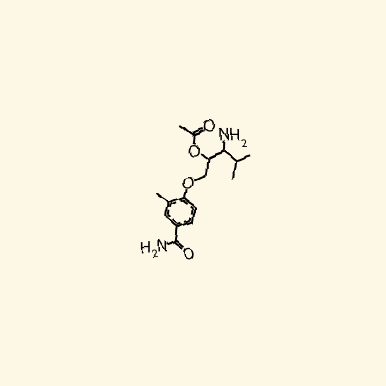 CC(=O)OC(COc1ccc(C(N)=O)cc1C)C(N)C(C)C